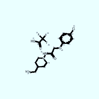 NCC1CCN(NC(=O)COc2ccc(Cl)cc2)CC1.O=C(O)C(F)(F)F